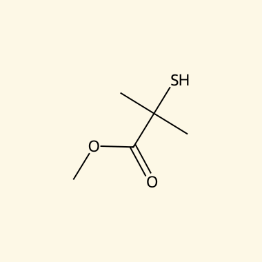 COC(=O)C(C)(C)S